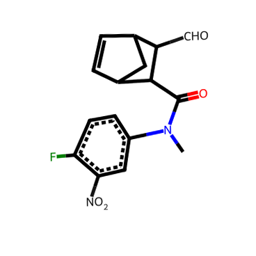 CN(C(=O)C1C2C=CC(C2)C1C=O)c1ccc(F)c([N+](=O)[O-])c1